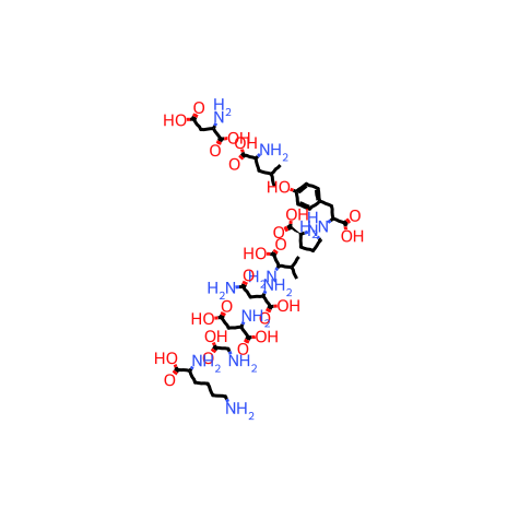 CC(C)C(N)C(=O)O.CC(C)CC(N)C(=O)O.NC(=O)CC(N)C(=O)O.NC(CC(=O)O)C(=O)O.NC(CC(=O)O)C(=O)O.NC(Cc1ccc(O)cc1)C(=O)O.NCC(=O)O.NCCCCC(N)C(=O)O.O=C(O)[C@@H]1CCCN1